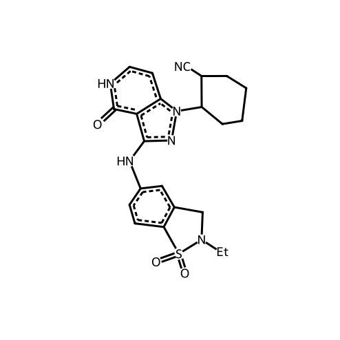 CCN1Cc2cc(Nc3nn(C4CCCCC4C#N)c4cc[nH]c(=O)c34)ccc2S1(=O)=O